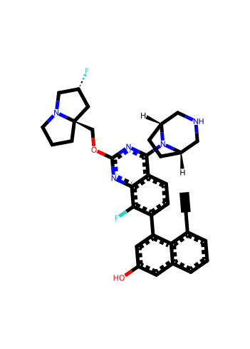 C#Cc1cccc2cc(O)cc(-c3ccc4c(N5[C@@H]6CC[C@H]5CNC6)nc(OC[C@@]56CCCN5C[C@H](F)C6)nc4c3F)c12